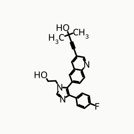 CC(C)(O)C#Cc1cnc2ccc(-c3c(-c4ccc(F)cc4)ncn3CCO)cc2c1